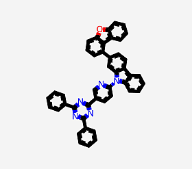 c1ccc(-c2nc(-c3ccccc3)nc(-c3ccc(-n4c5ccccc5c5ccc(-c6cccc7oc8ccccc8c67)cc54)nc3)n2)cc1